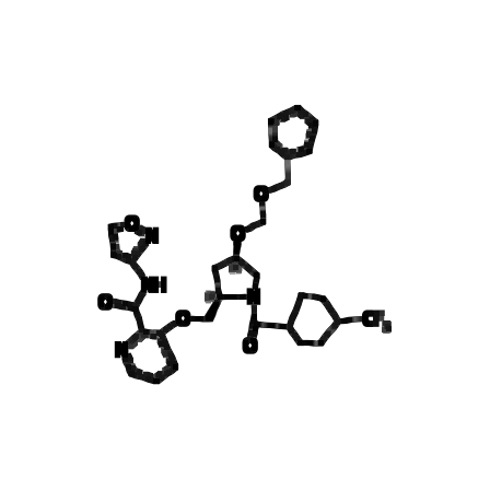 O=C(Nc1ccon1)c1ncccc1OC[C@H]1C[C@@H](OCOCc2ccccc2)CN1C(=O)C1CCC(C(F)(F)F)CC1